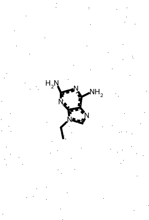 [CH2]Cn1cnc2c(N)nc(N)nc21